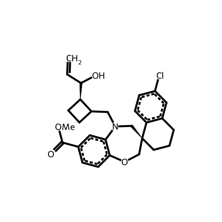 C=CC(O)[C@@H]1CCC1CN1C[C@@]2(CCCc3cc(Cl)ccc32)COc2ccc(C(=O)OC)cc21